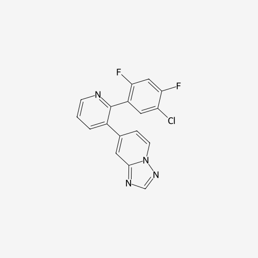 Fc1cc(F)c(-c2ncccc2-c2ccn3ncnc3c2)cc1Cl